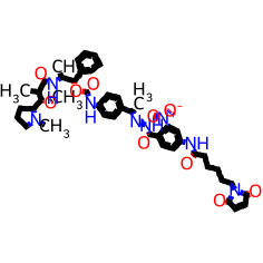 COC(C(C)C(=O)NC(C)C(OC(=O)Nc1ccc(/C(C)=N/NC(=O)c2ccc(NC(=O)CCCCCN3C(=O)C=CC3=O)cc2[N+](=O)[O-])cc1)c1ccccc1)C1CCCN1C